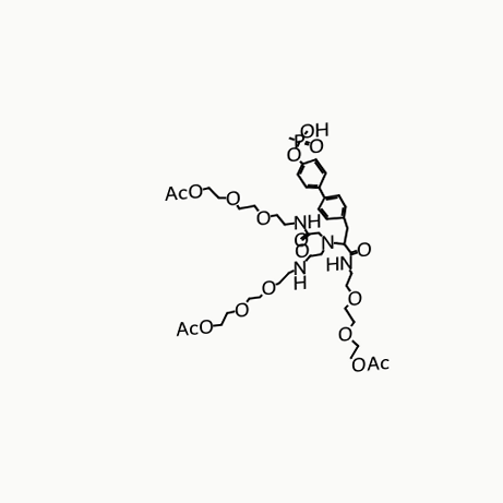 CC(=O)OCCOCCOCCNC(=O)CN(CC(=O)NCCOCCOCCOC(C)=O)C(Cc1ccc(-c2ccc(OP(C)(=O)O)cc2)cc1)C(=O)NCCOCCOCCOC(C)=O